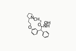 CN1CCCC1CCOc1cccc(C(C(=O)NO)c2ccccc2)c1